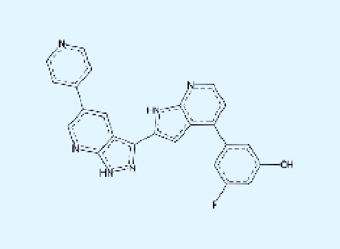 Oc1cc(F)cc(-c2ccnc3[nH]c(-c4n[nH]c5ncc(-c6ccncc6)cc45)cc23)c1